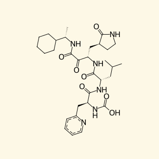 CC(C)C[C@H](NC(=O)[C@H](Cc1ccccn1)NC(=O)O)C(=O)N[C@@H](C[C@@H]1CCNC1=O)C(=O)C(=O)N[C@@H](C)C1CCCCC1